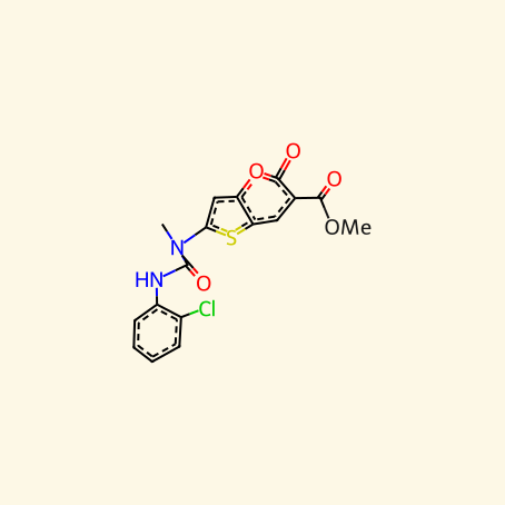 COC(=O)c1cc2sc(N(C)C(=O)Nc3ccccc3Cl)cc2oc1=O